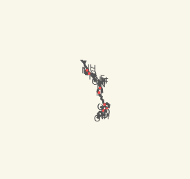 O=C1CCC(N2C(=O)c3cccc(CCCCCN4CCC(n5cc(NC(=O)c6coc(-c7ccnc(NCC8CC8)c7)n6)c(C(F)F)n5)CC4)c3C2=O)C(=O)N1